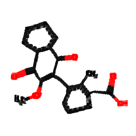 COC1=C(c2cccc(C(=O)O)c2C)C(=O)c2ccccc2C1=O